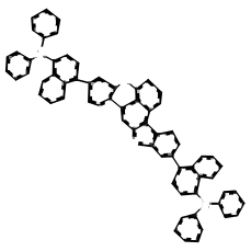 c1ccc(N(c2ccccc2)c2ccc(-c3ccc4c(c3)Sc3cccc5c3c-4cc3sc4cc(-c6ccc(N(c7ccccc7)c7ccccc7)c7ccccc67)ccc4c35)c3ccccc23)cc1